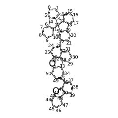 c1ccc2c(c1)-c1ccccc1C21c2ccccc2-c2ccc(-c3ccc4c5c(cccc35)-c3cc(-c5cccc6c5oc5ccccc56)ccc3O4)cc21